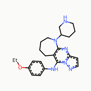 CCOc1ccc(Nc2c3c(nc4ccnn24)N(C2CCCNC2)CCCC3)cc1